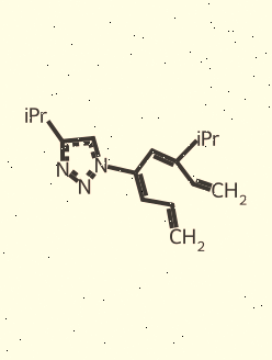 C=C/C=C(\C=C(/C=C)C(C)C)n1cc(C(C)C)nn1